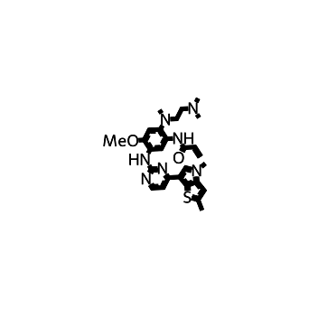 C=CC(=O)Nc1cc(Nc2nccc(-c3cn(C)c4cc(C)sc34)n2)c(OC)cc1N(C)CCN(C)C